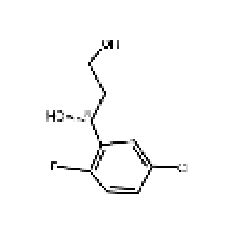 OCC[C@@H](O)c1cc(Cl)ccc1F